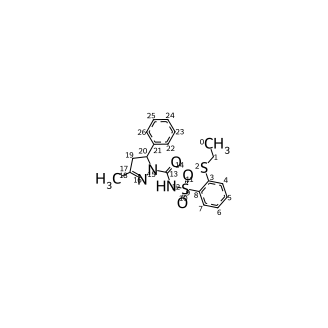 CCSc1ccccc1S(=O)(=O)NC(=O)N1N=C(C)CC1c1ccccc1